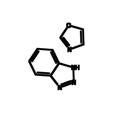 c1ccc2[nH]nnc2c1.c1cocn1